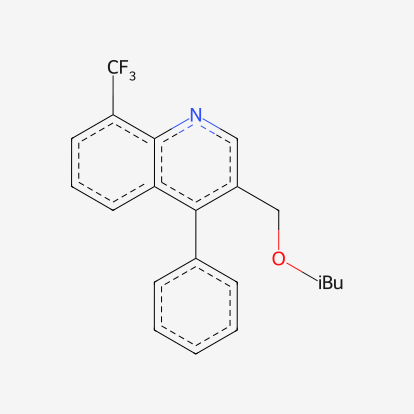 CCC(C)OCc1cnc2c(C(F)(F)F)cccc2c1-c1ccccc1